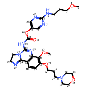 COCCCNc1ncc(OC(=O)NC2=Nc3c(ccc(OCCCN4CCOCC4)c3OC)C3=NCCN23)cn1